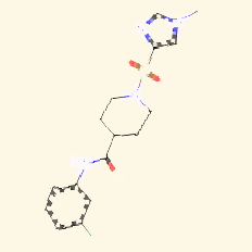 CC(C)n1cnc(S(=O)(=O)N2CCC(C(=O)Nc3cccc(Cl)c3)CC2)c1